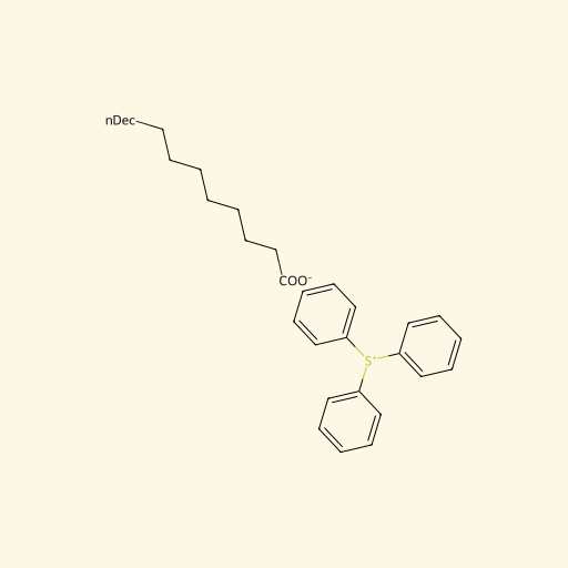 CCCCCCCCCCCCCCCCCC(=O)[O-].c1ccc([S+](c2ccccc2)c2ccccc2)cc1